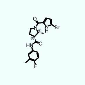 Cc1cc(NC(=O)[C@H]2CCN(C(=O)c3ccc(Br)[nH]3)[C@H]2C)ccc1F